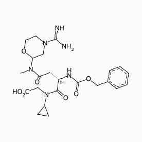 CN(C(=O)C[C@H](NC(=O)OCc1ccccc1)C(=O)N(CC(=O)O)C1CC1)C1CN(C(=N)N)CCO1